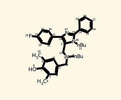 CCCCN(Cc1cc(C)c(O)c(C)c1)Cc1c(-c2ccc(F)cc2)nc(-c2ccccc2)n1CCCC